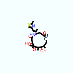 C/C(=C\c1csc(C)n1)[C@@H]1CC2O[C@@H]2CCCC(C)[C@H](O)C(C)C(=O)C(C)(C)C(O)CC(=O)N1